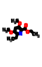 CCOC(=O)c1nc(CC)c(OC)cc1OC